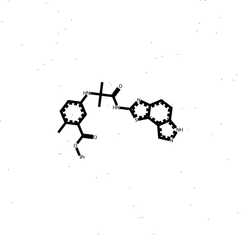 Cc1ccc(NC(C)(C)C(=O)Nc2nc3ccc4[nH]ncc4c3s2)cc1C(=O)OC(C)C